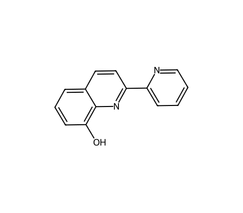 Oc1cccc2ccc(-c3ccccn3)nc12